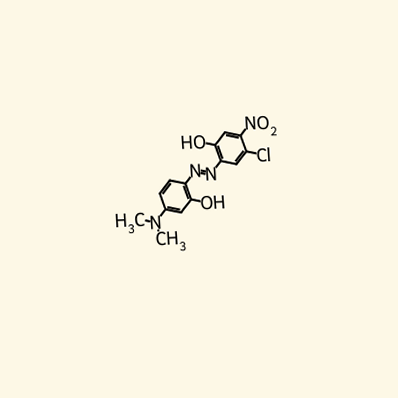 CN(C)c1ccc(N=Nc2cc(Cl)c([N+](=O)[O-])cc2O)c(O)c1